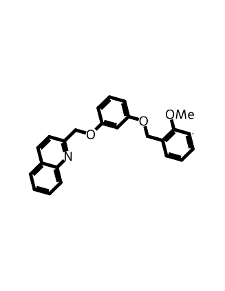 COc1[c]cccc1COc1cccc(OCc2ccc3ccccc3n2)c1